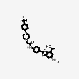 CC(O)c1cc(N)cc2nc(-c3ccc(NC(=O)CN4CCN(c5ccc(C(F)(F)F)cc5)CC4)cc3)oc12